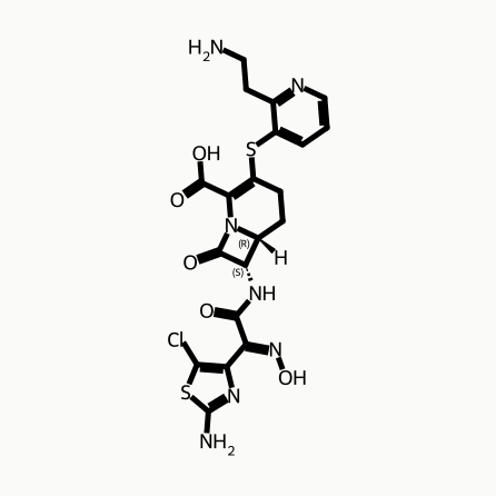 NCCc1ncccc1SC1=C(C(=O)O)N2C(=O)[C@@H](NC(=O)C(=NO)c3nc(N)sc3Cl)[C@H]2CC1